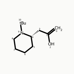 C=C(O)C[C@@H]1CCCCN1C(C)(C)C